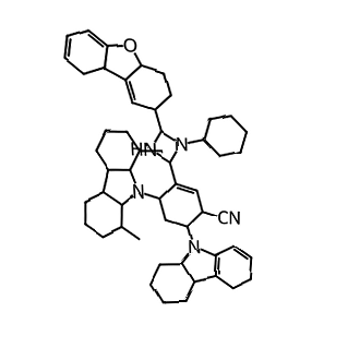 CC1CCCC2C3CCCC(C)C3N(C3CC(N4C5=C(CCC=C5)C5CCCCC54)C(C#N)C=C3C3NC(C4C=C5C(CC4)OC4=CC=CCC45)N3C3CCCCC3)C12